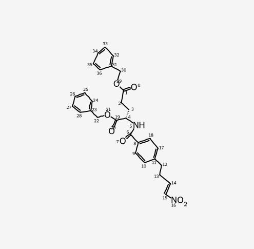 O=C(CC[C@H](NC(=O)c1ccc(CCC=C[N+](=O)[O-])cc1)C(=O)OCc1ccccc1)OCc1ccccc1